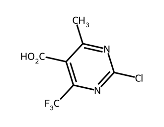 Cc1nc(Cl)nc(C(F)(F)F)c1C(=O)O